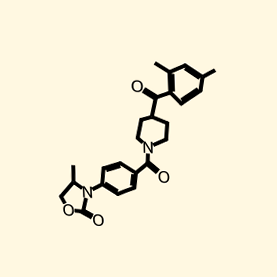 Cc1ccc(C(=O)C2CCN(C(=O)c3ccc(N4C(=O)OCC4C)cc3)CC2)c(C)c1